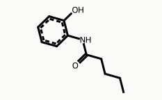 CCCCC(=O)Nc1ccccc1O